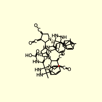 CC(C)(C)c1ccc(N2C(C3C(=C=O)C(=C=O)CN3[C@]3(C(=O)NC(=O)O)NNC3(C)C3C4=CC=C3C=C4)CCC2C2C(=C=O)C(=C=O)CN2[C@]2(C(=O)NC(=O)O)NNC2(C)C2C3=CC=C2C=C3)cc1